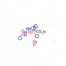 C=CS(C)(=O)=O.O=C(CNC(=O)OCc1ccccc1)NC(Cc1ccccc1)C(=O)NC(Cc1ccccc1)C(=O)O